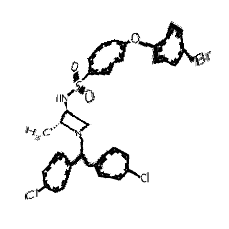 C[C@@H]1[C@@H](NS(=O)(=O)c2ccc(Oc3ccc(Br)cc3)cc2)CN1C(c1ccc(Cl)cc1)c1ccc(Cl)cc1